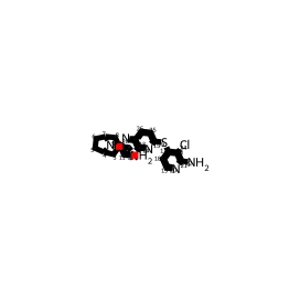 NCC1CC2CCC(C1)N2c1cnc2nc(Sc3ccnc(N)c3Cl)ccc2n1